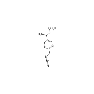 [N-]=[N+]=NCc1ccc(C(N)CC(=O)O)cn1